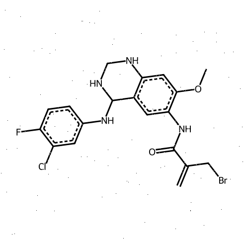 C=C(CBr)C(=O)Nc1cc2c(cc1OC)NCNC2Nc1ccc(F)c(Cl)c1